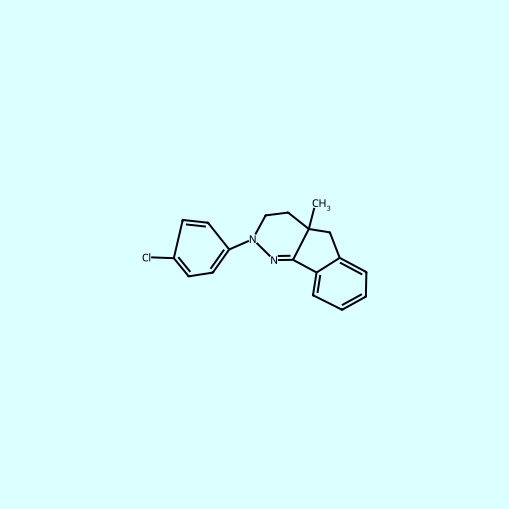 CC12CCN(c3ccc(Cl)cc3)N=C1c1ccccc1C2